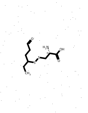 CCC(CCC=O)SSC[C@H](N)C(=O)O